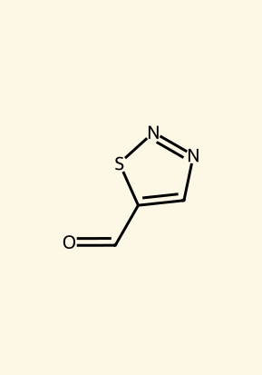 O=Cc1cnns1